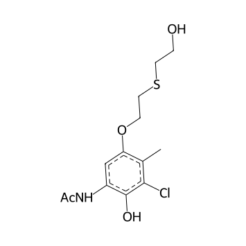 CC(=O)Nc1cc(OCCSCCO)c(C)c(Cl)c1O